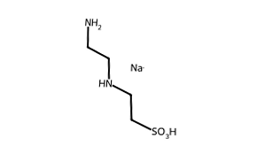 NCCNCCS(=O)(=O)O.[Na]